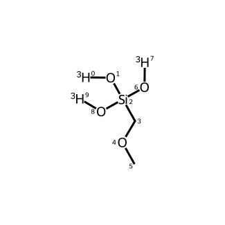 [3H]O[Si](COC)(O[3H])O[3H]